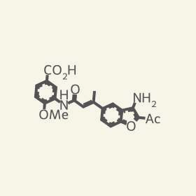 COc1ccc(C(=O)O)cc1NC(=O)C=C(C)c1ccc2oc(C(C)=O)c(N)c2c1